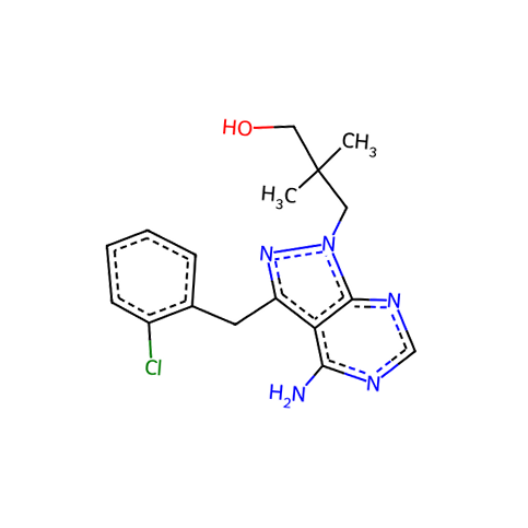 CC(C)(CO)Cn1nc(Cc2ccccc2Cl)c2c(N)ncnc21